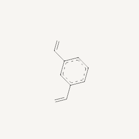 S=Cc1cccc(C=S)c1